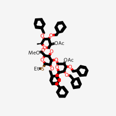 CCSC1OC(C(=O)OC)C(O[C@@H]2O[C@@H](C)C(OCc3ccccc3)C(OCc3ccccc3)C2OC(C)=O)C(OC2OC(COCc3ccccc3)C(OCc3ccccc3)C(OCc3ccccc3)C2OC(C)=O)C1OCc1ccccc1